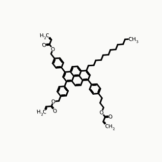 C=CC(=O)OCCCc1ccc(-c2cc(CCCCCCCCCCCC)c3ccc4c(-c5ccc(COC(=O)C=C)cc5)cc(-c5ccc(COC(=O)C=C)cc5)c5ccc2c3c45)cc1